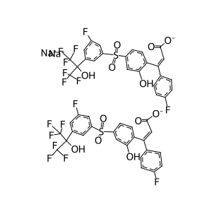 O=C([O-])C=C(c1ccc(F)cc1)c1ccc(S(=O)(=O)c2cc(F)cc(C(O)(C(F)(F)F)C(F)(F)F)c2)cc1O.O=C([O-])C=C(c1ccc(F)cc1)c1ccc(S(=O)(=O)c2cc(F)cc(C(O)(C(F)(F)F)C(F)(F)F)c2)cc1O.[Na+].[Na+]